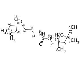 C#CC(C)(C)CC(C)(C)COC(=O)NCCCCC(C)(CC)CC